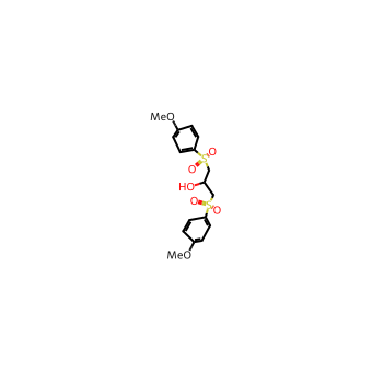 COc1ccc(S(=O)(=O)CC(O)CS(=O)(=O)c2ccc(OC)cc2)cc1